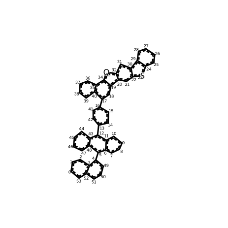 c1ccc2c(-c3c4ccccc4c(-c4ccc(-c5cc6c7cc8sc9ccccc9c8cc7oc6c6ccccc56)cc4)c4ccccc34)cccc2c1